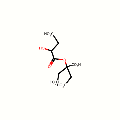 O=C(O)CC(O)C(=O)OC(CC(=O)O)(CC(=O)O)C(=O)O